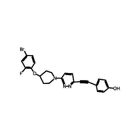 Oc1ccc(C#Cc2ccc(N3CCC(Oc4ccc(Br)cc4F)CC3)nn2)cc1